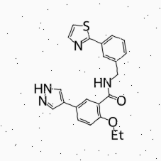 CCOc1ccc(-c2cn[nH]c2)cc1C(=O)NCc1cccc(-c2nccs2)c1